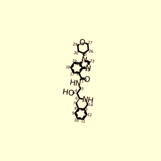 O=C(NC[C@@H](O)[C@@H]1Cc2ccccc2CN1)c1cccc2c1ncn2C1CCOCC1